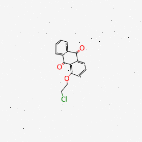 O=C1c2ccccc2C(=O)c2c(OCCCl)cccc21